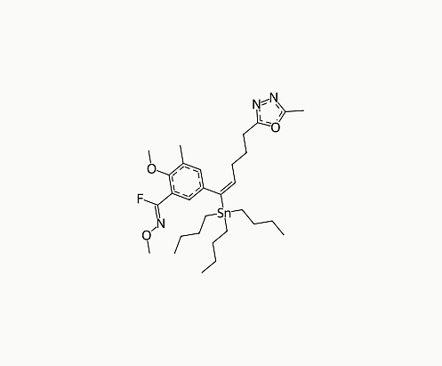 CCC[CH2][Sn]([CH2]CCC)([CH2]CCC)/[C](=C/CCCc1nnc(C)o1)c1cc(C)c(OC)c(/C(F)=N/OC)c1